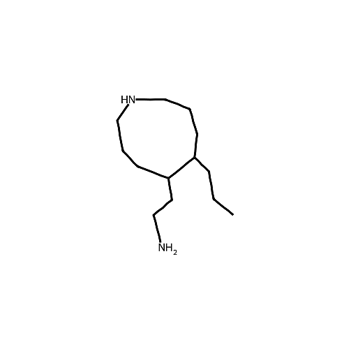 CCCC1CCCNCCCC1CCN